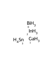 [BiH3].[GaH3].[InH3].[SnH4]